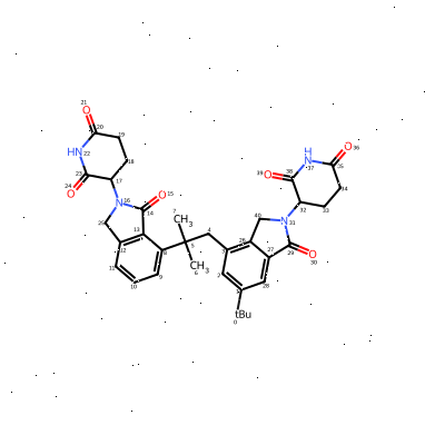 CC(C)(C)c1cc(CC(C)(C)c2cccc3c2C(=O)N(C2CCC(=O)NC2=O)C3)c2c(c1)C(=O)N(C1CCC(=O)NC1=O)C2